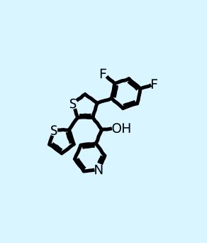 OC(C1=C(c2cccs2)SCC1c1ccc(F)cc1F)c1cccnc1